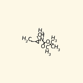 C=C[C@@H]1C[C@@]1(CC)NC(=O)OC(C)(C)C